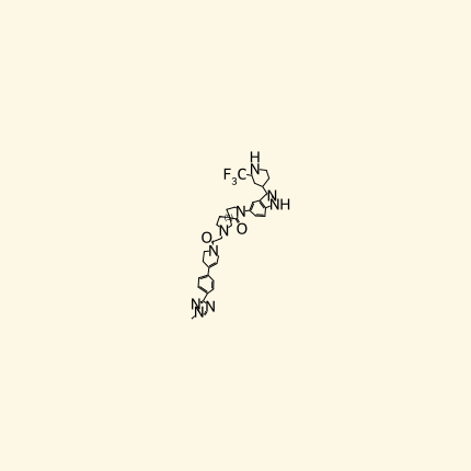 Cn1cnc(-c2ccc(C3=CCN(C(=O)CN4CC[C@]5(CCN(c6ccc7[nH]nc(C8CCNC(C(F)(F)F)C8)c7c6)C5=O)C4)CC3)cc2)n1